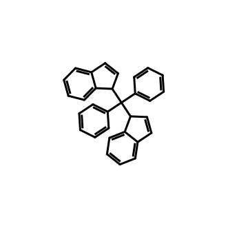 C1=CC(C(c2ccccc2)(c2ccccc2)C2C=Cc3ccccc32)c2ccccc21